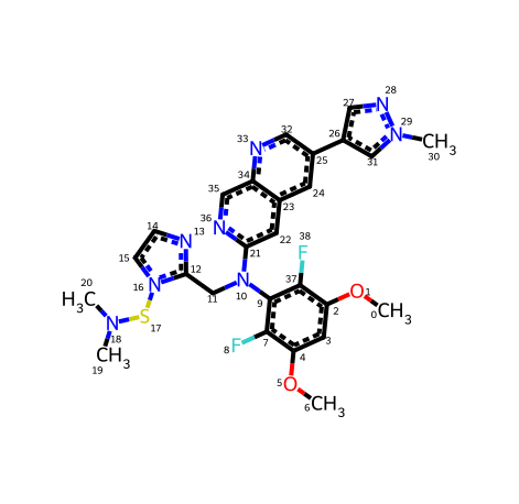 COc1cc(OC)c(F)c(N(Cc2nccn2SN(C)C)c2cc3cc(-c4cnn(C)c4)cnc3cn2)c1F